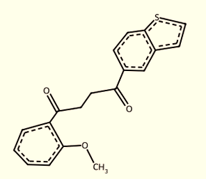 COc1ccccc1C(=O)CCC(=O)c1ccc2sccc2c1